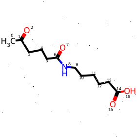 CC(=O)CCCC(=O)NCCCCCC(=O)O